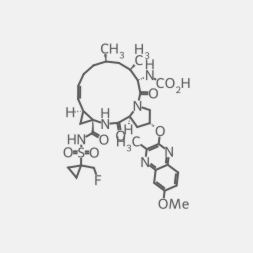 COc1ccc2nc(O[C@@H]3C[C@H]4C(=O)N[C@]5(C(=O)NS(=O)(=O)C6(CF)CC6)C[C@H]5/C=C\CC[C@@H](C)C[C@@H](C)[C@H](NC(=O)O)C(=O)N4C3)c(C)nc2c1